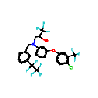 OC(CN(Cc1cccc(C(F)(F)C(F)(F)F)c1)c1cccc(Oc2ccc(Cl)c(C(F)(F)F)c2)c1)C(F)(F)F